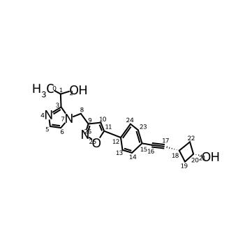 CC(O)c1nccn1Cc1cc(-c2ccc(C#C[C@H]3C[C@@H](O)C3)cc2)on1